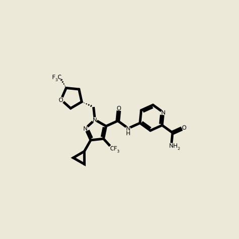 NC(=O)c1cc(NC(=O)c2c(C(F)(F)F)c(C3CC3)nn2C[C@@H]2CO[C@H](C(F)(F)F)C2)ccn1